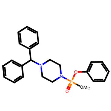 COP(=O)(Oc1ccccc1)N1CCN(C(c2ccccc2)c2ccccc2)CC1